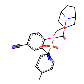 Cc1ccc(S(=O)(=O)NC(=O)N2CC3CCC(C2)N3CCOc2ccc(C#N)cc2C#N)cc1